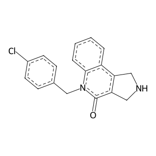 O=c1c2c(c3ccccc3n1Cc1ccc(Cl)cc1)CNC2